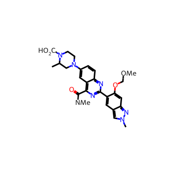 CNC(=O)c1nc(-c2cc3cn(C)nc3cc2OCOC)nc2ccc(N3CCN(C(=O)O)C(C)C3)cc12